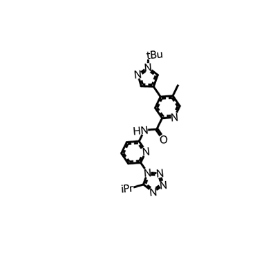 Cc1cnc(C(=O)Nc2cccc(-n3nnnc3C(C)C)n2)cc1-c1cnn(C(C)(C)C)c1